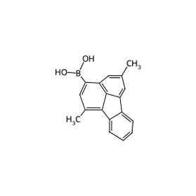 Cc1cc2c3c(c(C)cc(B(O)O)c3c1)-c1ccccc1-2